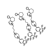 O=C1CCCc2c1ccn2CCCCN1CCN(c2ccc(F)c(C(F)(F)F)c2)CC1.O=C1CCCc2c1ccn2CCCN1CCN(c2ccc(F)c(C(F)(F)F)c2)CC1.O=C1CCCc2c1ccn2CCN1CCN(c2ccc(F)c(C(F)(F)F)c2)CC1